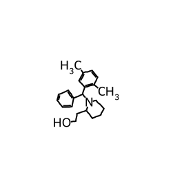 Cc1ccc(C)c(C(c2ccccc2)N2CCCCC2CCO)c1